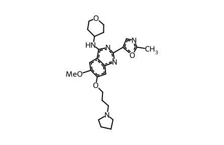 COc1cc2c(NC3CCOCC3)nc(-c3cnc(C)o3)nc2cc1OCCCN1CCCC1